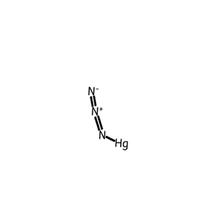 [N-]=[N+]=[N][Hg]